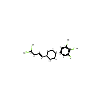 Fc1cc([C@H]2CC[C@H](C=CCC(F)F)CC2)cc(F)c1F